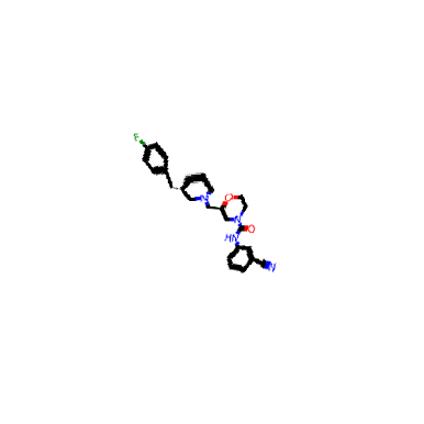 N#Cc1cccc(NC(=O)N2CCO[C@H](CN3CCC[C@@H](Cc4ccc(F)cc4)C3)C2)c1